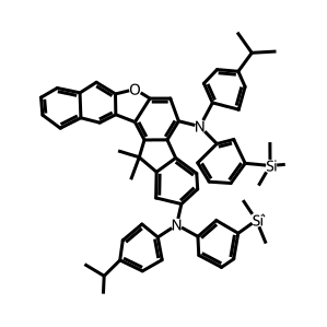 CC(C)c1ccc(N(c2cccc([Si](C)(C)C)c2)c2ccc3c(c2)C(C)(C)c2c-3c(N(c3ccc(C(C)C)cc3)c3cccc([Si](C)(C)C)c3)cc3oc4cc5ccccc5cc4c23)cc1